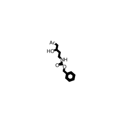 CC(=O)CC(O)CCNC(=O)OCc1ccccc1